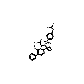 COc1cc(C2(N(CC(=O)O)S(=O)(=O)c3ccc(OC(F)F)cc3)CCC2)ccc1-c1ccccc1